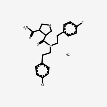 Cl.NC(=O)C1CNCC1C(=O)N(CCc1ccc(Cl)cc1)CCc1ccc(Cl)cc1